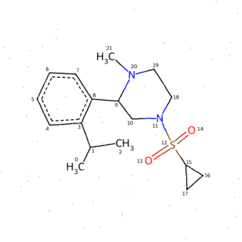 CC(C)c1ccccc1C1CN(S(=O)(=O)C2CC2)CCN1C